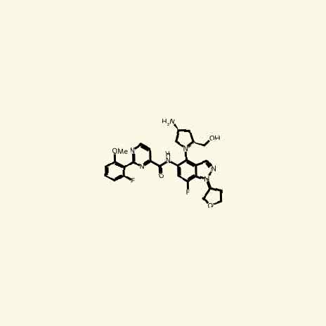 COc1cccc(F)c1-c1nccc(C(=O)Nc2cc(F)c3c(cnn3C3CCOC3)c2N2C[C@@H](N)C[C@H]2CO)n1